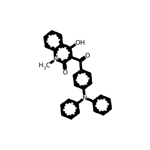 Cn1c(=O)c(C(=O)c2ccc(N(c3ccccc3)c3ccccc3)cc2)c(O)c2ccccc21